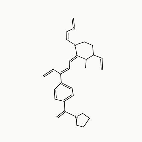 C=C/C(=C\C=C1/C(C)C(C=C)CCN1/C=C\N=C)c1ccc(C(=C)N2CCCC2)cc1